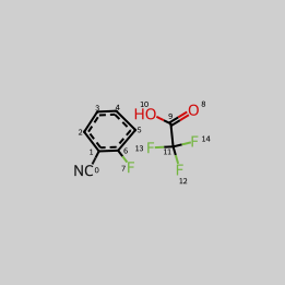 N#Cc1ccccc1F.O=C(O)C(F)(F)F